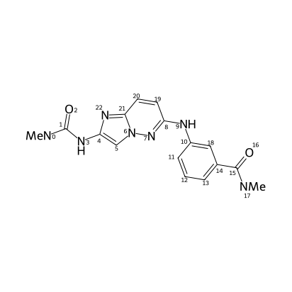 CNC(=O)Nc1cn2nc(Nc3cccc(C(=O)NC)c3)ccc2n1